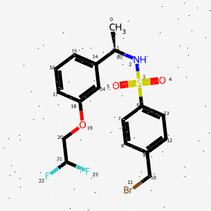 C[C@@H](NS(=O)(=O)c1ccc(CBr)cc1)c1cccc(OCC(F)F)c1